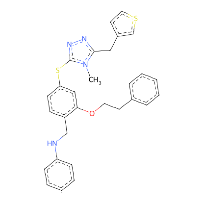 Cn1c(Cc2ccsc2)nnc1Sc1ccc(CNc2cc[c]cc2)c(OCCc2ccccc2)c1